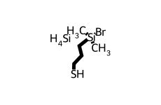 C[Si](C)(Br)CCCS.[SiH4]